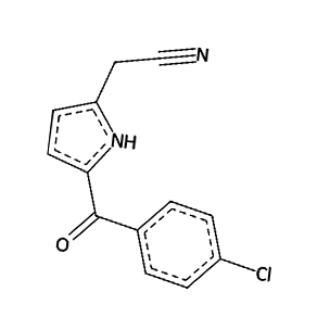 N#CCc1ccc(C(=O)c2ccc(Cl)cc2)[nH]1